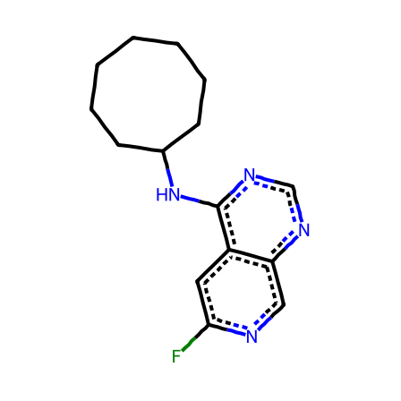 Fc1cc2c(NC3CCCCCCC3)ncnc2cn1